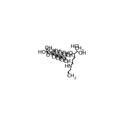 C=CCNCCCC(O)C(C)O.CNC.CNC.CNC.CNC.Cl.O=P(O)(O)O